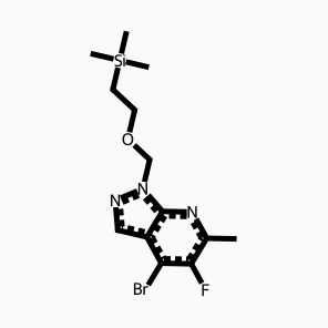 Cc1nc2c(cnn2COCC[Si](C)(C)C)c(Br)c1F